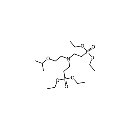 CCOP(=O)(CCN(CCOC(C)C)CCP(=O)(OCC)OCC)OCC